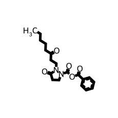 CCCCCC(=O)CCN1C(=O)CCN1C(=O)OC(=O)c1ccccc1